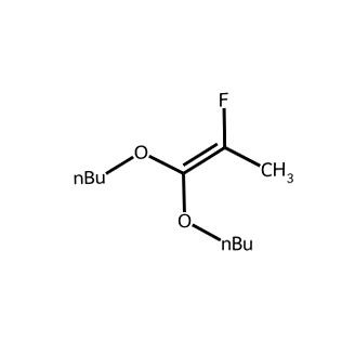 CCCCOC(OCCCC)=C(C)F